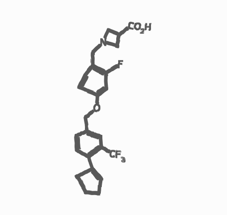 O=C(O)C1CN(Cc2ccc(OCc3ccc(C4=CCCC4)c(C(F)(F)F)c3)cc2F)C1